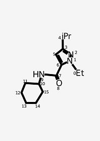 CCn1nc(C(C)C)cc1C(=O)NC1CCCCC1